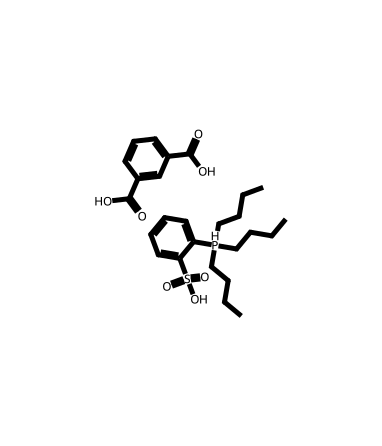 CCCC[PH](CCCC)(CCCC)c1ccccc1S(=O)(=O)O.O=C(O)c1cccc(C(=O)O)c1